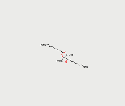 CCCCCCCCCCCCCCCCCC(=O)OC(CCCCCCCCC)C(CCCCCCC)C(=O)CCCCCCCCCCCCCCCCC